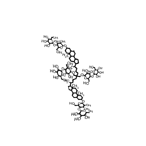 CC(CCCC(CCCC(C)C1CCC2C3CCC4CC(O[C@H]5OC(CO)[C@H](O[C@@H]6OC(CO)[C@H](O)C(O)[C@H]6O)C(O)[C@H]5O)CCC4(C)C3CCC12C)(CO[C@@H]1OC(CO)[C@@H](O[C@H]2OC(CO)C(O)[C@H](O)C2O)[C@H](O)C1O)CO[C@H]1OC(CO)[C@H](O[C@@H]2OC(CO)[C@H](O)C(O)[C@H]2O)C(O)[C@H]1O)C1CCC2C1CCC1C2CCC2CC(O[C@@H]3OC(CO)[C@@H](O[C@H]4OC(CO)[C@@H](O)[C@H](O)C4O)[C@H](O)C3O)CCC21C